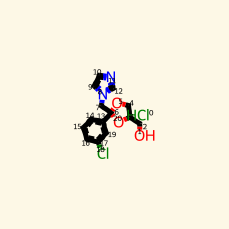 Cl.OCC1COC(Cn2ccnc2)(c2cccc(Cl)c2)O1